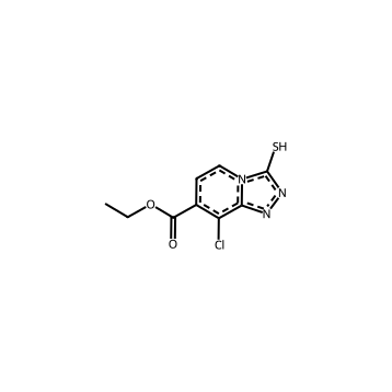 CCOC(=O)c1ccn2c(S)nnc2c1Cl